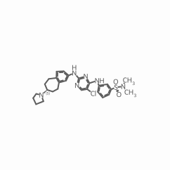 CN(C)S(=O)(=O)c1cccc(Nc2nc(Nc3ccc4c(c3)CC[C@@H](N3CCCC3)CC4)ncc2Cl)c1